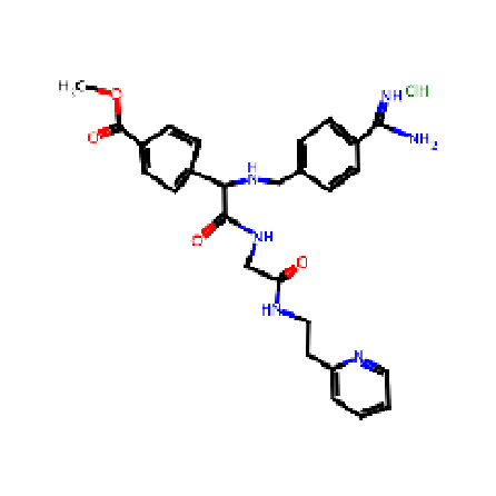 COC(=O)c1ccc(C(NCc2ccc(C(=N)N)cc2)C(=O)NCC(=O)NCCc2ccccn2)cc1.Cl